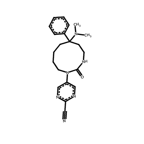 CN(C)C1(c2ccccc2)CCCCN(c2cnc(C#N)nc2)C(=O)NCC1